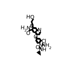 NC(=O)c1cc2c(Oc3ccc(N(N)C(=O)NC4CC4)c(Cl)c3)ccnc2cc1OCCCO